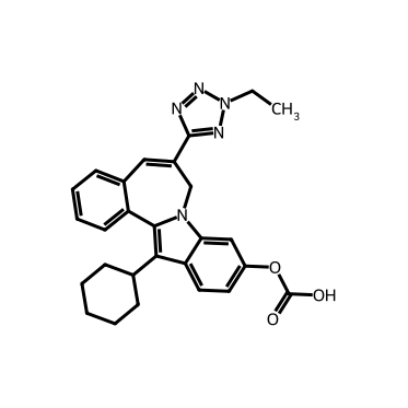 CCn1nnc(C2=Cc3ccccc3-c3c(C4CCCCC4)c4ccc(OC(=O)O)cc4n3C2)n1